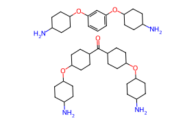 NC1CCC(OC2CCC(C(=O)C3CCC(OC4CCC(N)CC4)CC3)CC2)CC1.NC1CCC(Oc2cccc(OC3CCC(N)CC3)c2)CC1